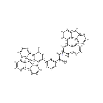 CC1CC(c2cccc(C(=N)/N=c3/nc(-c4cccc5oc6ccccc6c45)c4ccccc4[nH]3)c2)=CC2=C1c1ccccc1C21c2ccccc2-c2ccccc21